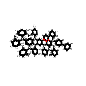 Fc1ccc(N2c3cc4c(cc3B3c5ccccc5N(c5c(F)cccc5F)c5cc(N(c6ccccc6)c6c(F)cccc6F)cc2c53)B2c3ccccc3N(c3c(F)cccc3F)c3cc(N(c5ccc(-c6ccccc6)cc5)c5ccccc5-c5ccccc5)cc(c32)S4)c(F)c1